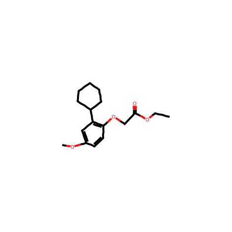 CCOC(=O)COc1ccc(OC)cc1C1CCCCC1